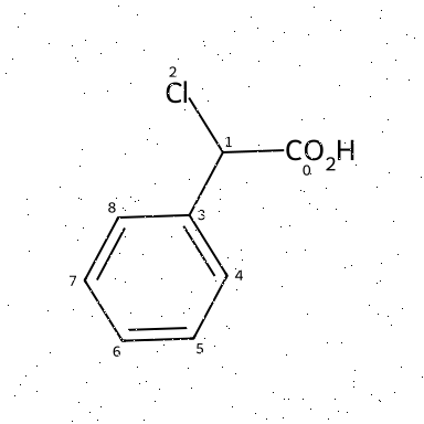 O=C(O)C(Cl)c1ccccc1